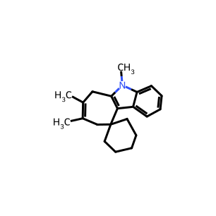 CC1=C(C)CC2(CCCCC2)c2c(n(C)c3ccccc23)C1